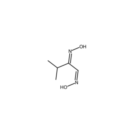 CC(C)C(/C=N\O)=N/O